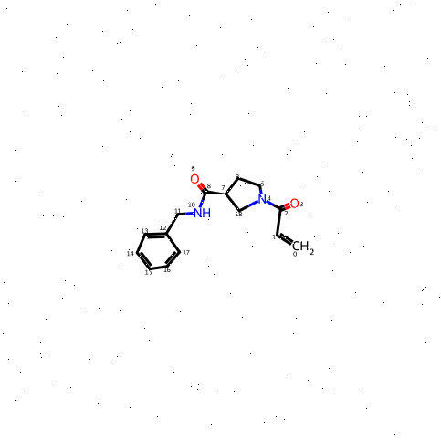 C=CC(=O)N1CC[C@H](C(=O)NCc2ccccc2)C1